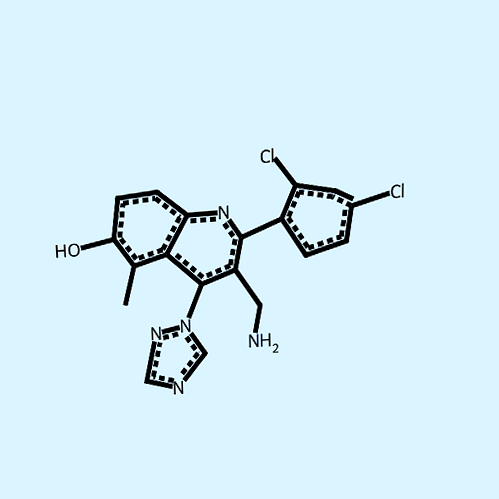 Cc1c(O)ccc2nc(-c3ccc(Cl)cc3Cl)c(CN)c(-n3cncn3)c12